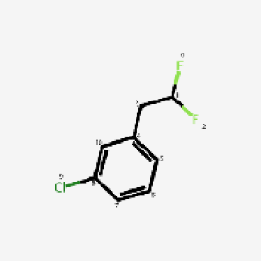 FC(F)[CH]c1cccc(Cl)c1